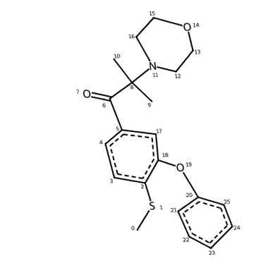 CSc1ccc(C(=O)C(C)(C)N2CCOCC2)cc1Oc1ccccc1